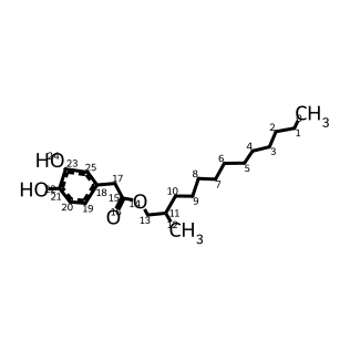 CCCCCCCCCCCC(C)COC(=O)Cc1ccc(O)c(O)c1